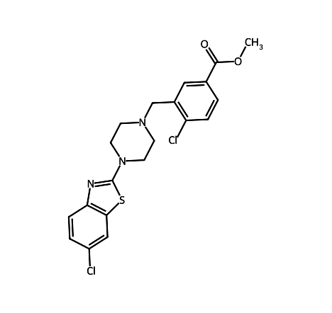 COC(=O)c1ccc(Cl)c(CN2CCN(c3nc4ccc(Cl)cc4s3)CC2)c1